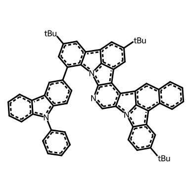 CC(C)(C)c1ccc2c(c1)c1c3ccccc3cc3c4c5c6cc(C(C)(C)C)cc7c8cc(C(C)(C)C)cc(-c9ccc%10c(c9)c9ccccc9n%10-c9ccccc9)c8n(c5ncc4n2c31)c76